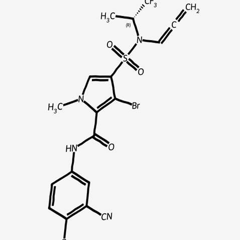 C=C=CN([C@H](C)C(F)(F)F)S(=O)(=O)c1cn(C)c(C(=O)Nc2ccc(F)c(C#N)c2)c1Br